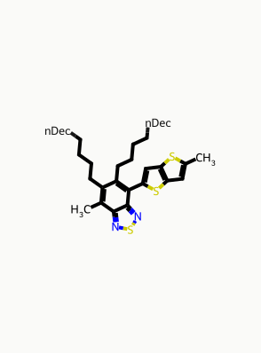 CCCCCCCCCCCCCCc1c(CCCCCCCCCCCCCC)c(-c2cc3sc(C)cc3s2)c2nsnc2c1C